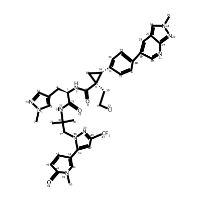 Cn1cc(C[C@@H](NC(=O)[C@@]2(CCCl)C[C@@H]2c2ccc(-c3cnc4nn(C)cc4c3)cc2)C(=O)NC(C)(C)Cn2nc(C(F)(F)F)cc2-c2ccc(=O)n(C)c2)cn1